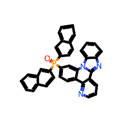 O=P(c1ccc2ccccc2c1)(c1ccc2ccccc2c1)c1ccc2c3ncccc3c3nc4ccccc4n3c2c1